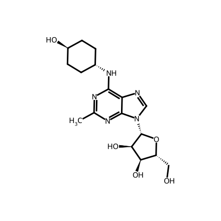 Cc1nc(N[C@H]2CC[C@H](O)CC2)c2ncn([C@@H]3O[C@H](CO)[C@@H](O)[C@H]3O)c2n1